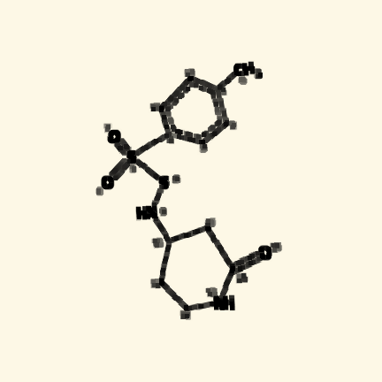 Cc1ccc(S(=O)(=O)SNC2CCNC(=O)C2)cc1